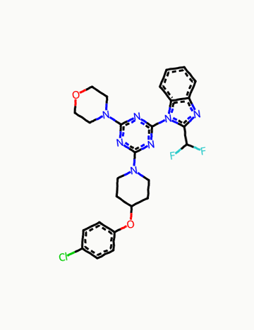 FC(F)c1nc2ccccc2n1-c1nc(N2CCOCC2)nc(N2CCC(Oc3ccc(Cl)cc3)CC2)n1